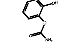 NC(=O)Oc1ccccc1O